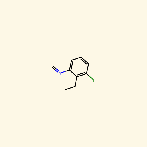 C=Nc1cccc(F)c1CC